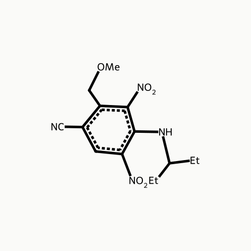 CCC(CC)Nc1c([N+](=O)[O-])cc(C#N)c(COC)c1[N+](=O)[O-]